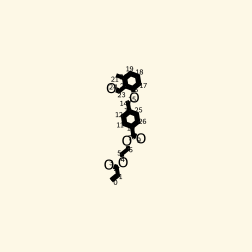 C=CC(=O)OCCOC(=O)c1ccc(COc2cccc(C)c2C=O)cc1